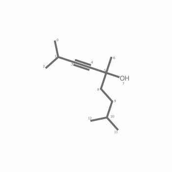 CC(C)C#CC(C)(O)CCC(C)C